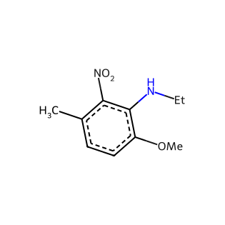 CCNc1c(OC)ccc(C)c1[N+](=O)[O-]